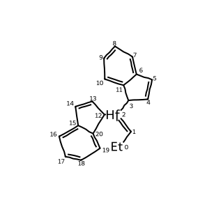 CC[CH]=[Hf]([CH]1C=Cc2ccccc21)[CH]1C=Cc2ccccc21